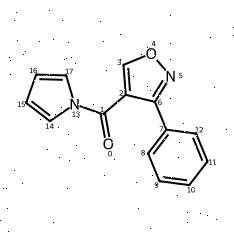 O=C(c1conc1-c1ccccc1)n1cccc1